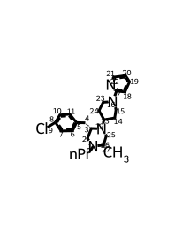 CCCN1C[C@H](Cc2ccc(Cl)cc2)N(C2CCN(c3ccccn3)CC2)C[C@@H]1C